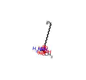 CC(C)CCCCCCCCCCCCCCCOP(=O)(O)OC(O)(C(N)CN)C(C)(O)O